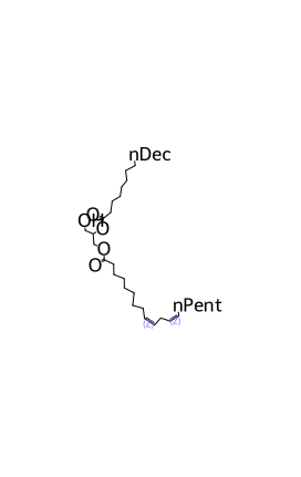 CCCCC/C=C\C/C=C\CCCCCCCC(=O)OCC(CO)OC(=O)CCCCCCCCCCCCCCCCC